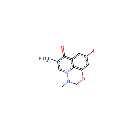 CCOC(=O)c1cn2c3c(cc(I)cc3c1=O)OCN2C